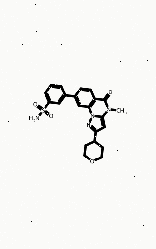 Cn1c(=O)c2ccc(-c3cccc(S(N)(=O)=O)c3)cc2n2nc(C3CCOCC3)cc12